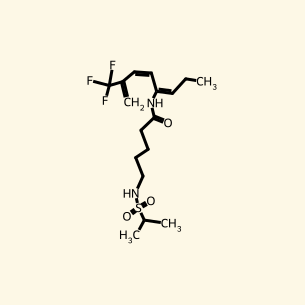 C=C(/C=C\C(=C/CC)NC(=O)CCCCNS(=O)(=O)C(C)C)C(F)(F)F